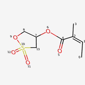 C/C=C(/C)C(=O)OC1COS(=O)(=O)C1